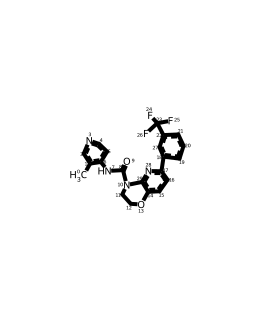 Cc1cnccc1NC(=O)N1CCOc2ccc(-c3cccc(C(F)(F)F)c3)nc21